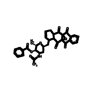 C[C@@H]1O[C@@H](CC2C=CCC3C(=O)C45OC4(C(=O)c4ccccc4C5=O)C(=O)C23)C[C@H](NC(=O)C(F)(F)F)[C@@H]1OC(=O)c1ccccc1